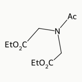 [CH2]C(=O)N(CC(=O)OCC)CC(=O)OCC